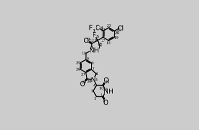 O=C1CCC(N2Cc3cc(CNC(=O)C(F)(F)c4ccc(Cl)cc4C(F)(F)F)ccc3C2=O)C(=O)N1